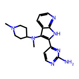 CN1CCC(N(C)c2c(-c3ccnc(N)n3)[nH]c3ncccc23)CC1